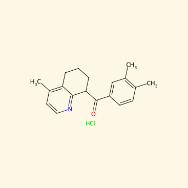 Cc1ccc(C(=O)C2CCCc3c(C)ccnc32)cc1C.Cl